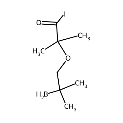 BC(C)(C)COC(C)(C)C(=O)I